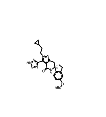 CCCCOc1ccc2c(c1)CC[C@]21Cc2nn(CCC3CC3)c(-c3nn[nH]n3)c2C(=O)N1